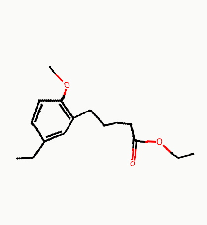 CCOC(=O)CCCc1cc(CC)ccc1OC